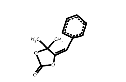 CC1(C)OC(=O)OC1=Cc1ccccc1